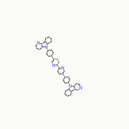 C1=C(c2ccc(-n3c4ccccc4c4ncccc43)cc2)CCC(c2ccc(-c3ccc(-n4c5ccccc5c5cnccc54)cc3)cn2)=N1